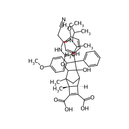 COc1ccc(C(c2ccccc2)(c2ccc(OC)cc2)C2(O)C3CC(C)(C2OP(O)NC(CC#N)N(C(C)C)C(C)C)[C@@]2(C)C(C(=O)O)=C(C(=O)O)[C@H]32)cc1